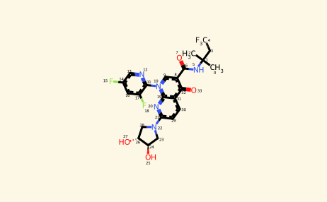 CC(C)(CC(F)(F)F)NC(=O)c1cn(-c2ncc(F)cc2F)c2nc(N3C[C@@H](O)[C@H](O)C3)ccc2c1=O